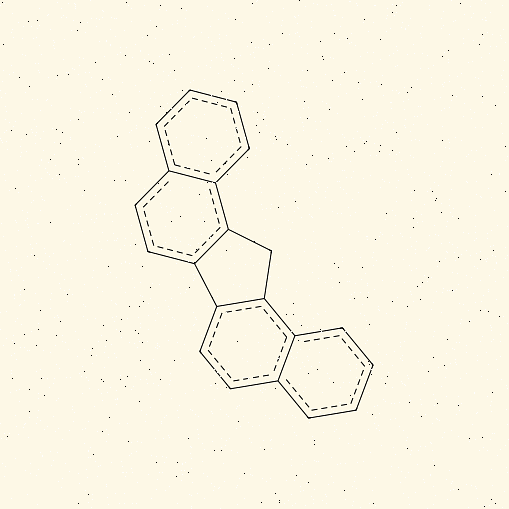 c1ccc2c3c(ccc2c1)-c1ccc2ccccc2c1C3